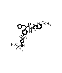 COc1ccc2nc(NC(=O)C(CC3CCCC3)c3ccc(S(=O)(=O)N4CC(NC(C)C)C4)cc3)sc2n1